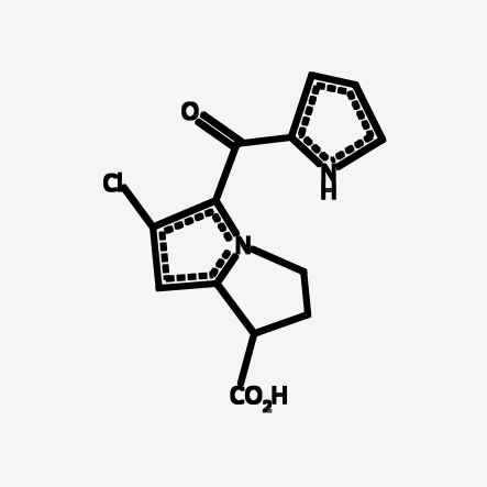 O=C(c1ccc[nH]1)c1c(Cl)cc2n1CCC2C(=O)O